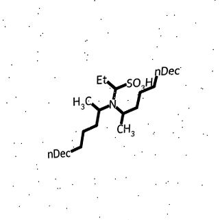 CCCCCCCCCCCCCC(C)N(C(C)CCCCCCCCCCCCC)C(CC)S(=O)(=O)O